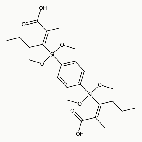 CCCC(=C(C)C(=O)O)[Si](OC)(OC)c1ccc([Si](OC)(OC)C(CCC)=C(C)C(=O)O)cc1